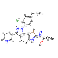 COCc1ccc(-n2nc(-c3cccnc3)c3c2-c2sc(NC(=O)OC)nc2CC3)c(Br)c1